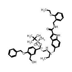 CCOc1ccccc1CNC(=O)c1cc2cc(C[C@H](CC)NC[C@@H](O[Si](C)(C)C(C)(C)C)c3ccc(OCc4ccccc4)c(CO)c3)ccc2[nH]1